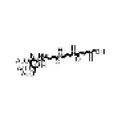 CC(=O)NC1C(ONCCCC(=O)NCCCNC(=O)CCCNCO)OC(COC(C)=O)C(OC(C)=O)C1OC(C)=O